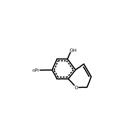 CCCc1cc(O)c2c(c1)OCC=C2